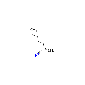 C=C(C#N)CCCCC